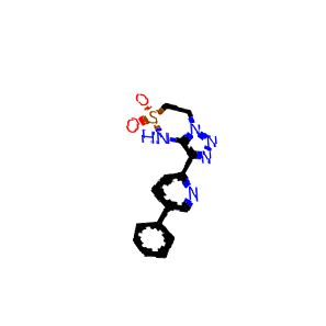 O=S1(=O)CCn2nnc(-c3ccc(-c4ccccc4)cn3)c2N1